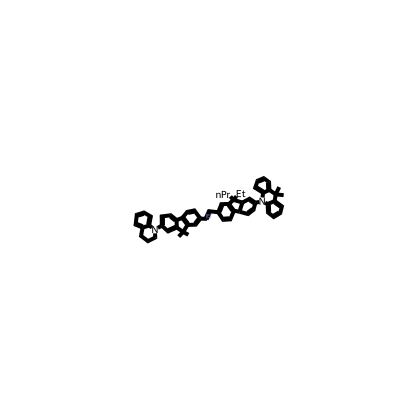 CCCC1(CC)c2cc(/C=C/c3ccc4c(c3)C(C)(C)c3cc(N5CCCc6ccccc65)ccc3-4)ccc2C2C=CC(N3c4ccccc4C(C)(C)c4ccccc43)=CC21